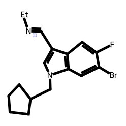 CC/N=C/c1cn(CC2CCCC2)c2cc(Br)c(F)cc12